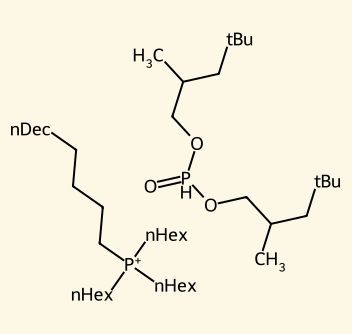 CC(CO[PH](=O)OCC(C)CC(C)(C)C)CC(C)(C)C.CCCCCCCCCCCCCC[P+](CCCCCC)(CCCCCC)CCCCCC